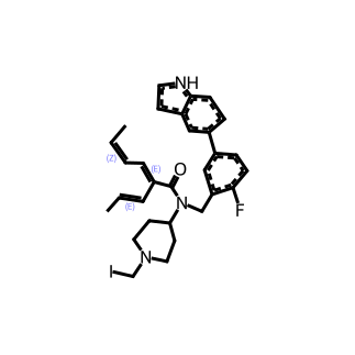 C\C=C/C=C(\C=C\C)C(=O)N(Cc1cc(-c2ccc3[nH]ccc3c2)ccc1F)C1CCN(CI)CC1